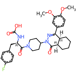 COc1ccc(C2=NN(C3CCN(C(=O)[C@@H](Cc4ccc(F)cc4)NC(=O)O)CC3)C(=O)[C@@H]3CCCC[C@H]23)cc1OC